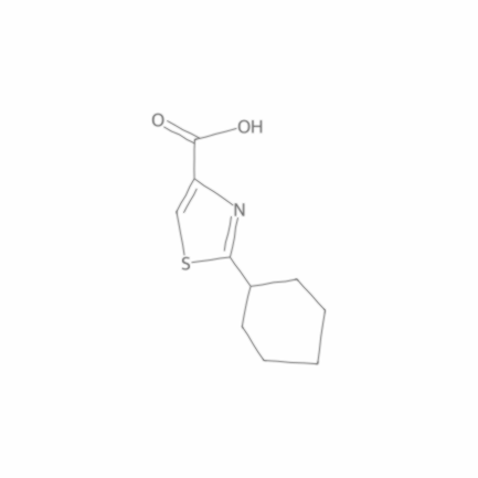 O=C(O)c1csc(C2CCCCC2)n1